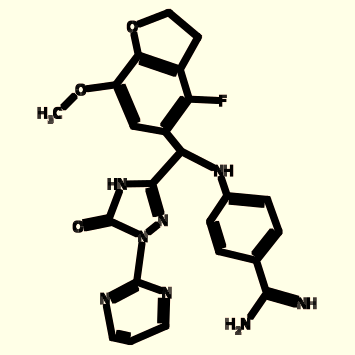 COc1cc(C(Nc2ccc(C(=N)N)cc2)c2nn(-c3ncccn3)c(=O)[nH]2)c(F)c2c1OCC2